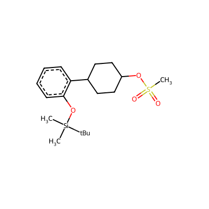 CC(C)(C)[Si](C)(C)Oc1ccccc1C1CCC(OS(C)(=O)=O)CC1